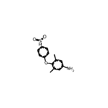 Cc1cc(N)cc(C)c1Oc1ccc([SH](=O)=O)cc1